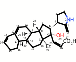 C=C1NCCC1[C@H]1C[C@H]2[C@@H]3CC=C4C=CCC[C@@H]4[C@H]3CC[C@]2(CC)[C@]1(O)/C=C\C(=O)O